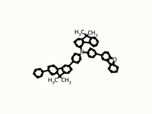 CC1(C)c2ccc(-c3ccc(N(c4ccc(-c5ccc6oc7ccccc7c6c5)cc4)c4cccc5c4-c4ccccc4C5(C)C)cc3)cc2-c2ccc(-c3ccccc3)cc21